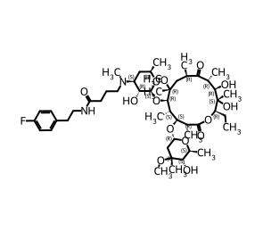 CC[C@H]1OC(=O)[C@H](C)[C@@H](O[C@H]2C[C@@](C)(OC)[C@@H](O)[C@H](C)O2)[C@H](C)[C@@H](O[C@@H]2O[C@H](C)C[C@H](N(C)CCCC(=O)NCCc3ccc(F)cc3)[C@H]2O)[C@](C)(OC)C[C@@H](C)C(=O)[C@H](C)[C@@H](O)[C@]1(C)O